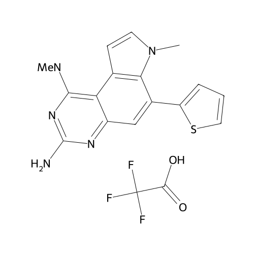 CNc1nc(N)nc2cc(-c3cccs3)c3c(ccn3C)c12.O=C(O)C(F)(F)F